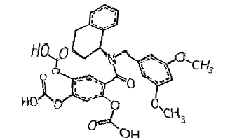 COc1cc(CN(C(=O)c2cc(OC(=O)O)c(OC(=O)O)cc2OC(=O)O)[C@H]2CCCc3ccccc32)cc(OC)c1